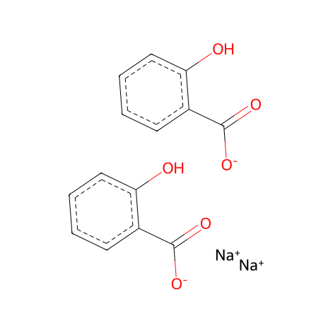 O=C([O-])c1ccccc1O.O=C([O-])c1ccccc1O.[Na+].[Na+]